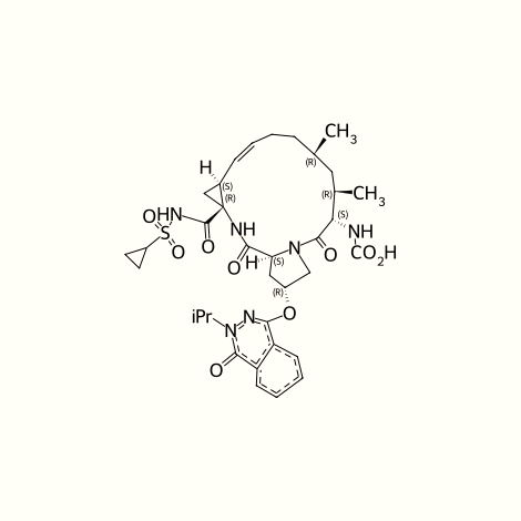 CC(C)n1nc(O[C@@H]2C[C@H]3C(=O)N[C@]4(C(=O)NS(=O)(=O)C5CC5)C[C@H]4C=CCC[C@@H](C)C[C@@H](C)[C@H](NC(=O)O)C(=O)N3C2)c2ccccc2c1=O